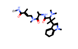 CCNC(=O)/C(C)=C/CN(C)C(=O)C(C)NC(=O)C(N(C)C)C(C)(C)c1cn(C)c2c1=CCCC=2